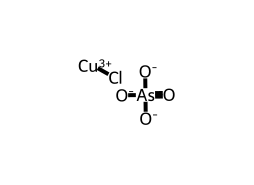 O=[As]([O-])([O-])[O-].[Cl][Cu+3]